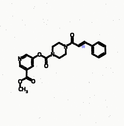 COC(=O)c1cncc(OC(=O)N2CCN(C(=O)/C=C/c3ccccc3)CC2)c1